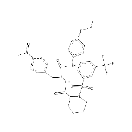 CCOc1ccc(NC(=O)[C@H](Cc2ccc(C(C)=O)cc2)NC(=O)C2CCCCN2S(=O)(=O)c2cccc(C(F)(F)F)c2)cc1